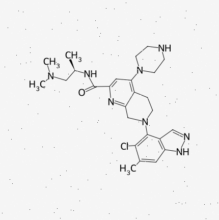 Cc1cc2[nH]ncc2c(N2CCc3c(N4CCNCC4)cc(C(=O)N[C@H](C)CN(C)C)nc3C2)c1Cl